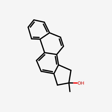 CC1(O)Cc2ccc3c(ccc4ccccc43)c2C1